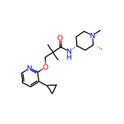 C[C@@H]1C[C@H](NC(=O)C(C)(C)COc2ncccc2C2CC2)CCN1C